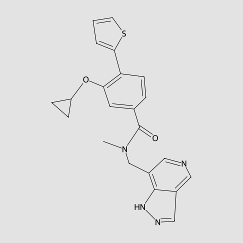 CN(Cc1cncc2cn[nH]c12)C(=O)c1ccc(-c2cccs2)c(OC2CC2)c1